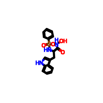 O=C(NO)C(Cc1c[nH]c2ccccc12)NS(=O)(=O)c1ccccc1